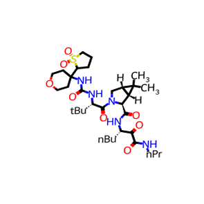 CCCC[C@H](NC(=O)[C@@H]1[C@@H]2[C@H](CN1C(=O)[C@@H](NC(=O)NC1(C3CCCS3(=O)=O)CCOCC1)C(C)(C)C)C2(C)C)C(=O)C(=O)NCCC